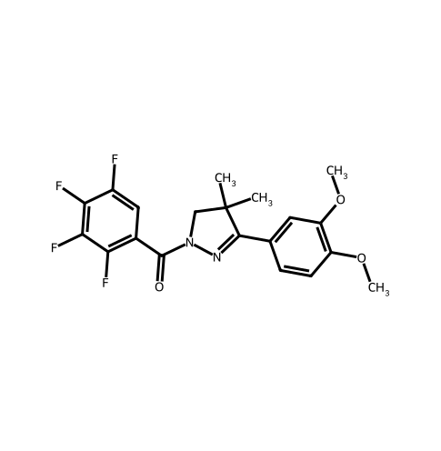 COc1ccc(C2=NN(C(=O)c3cc(F)c(F)c(F)c3F)CC2(C)C)cc1OC